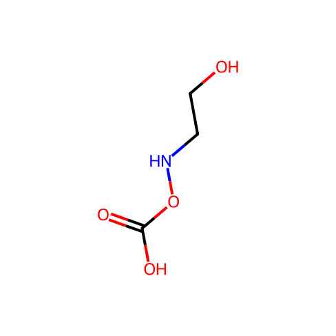 O=C(O)ONCCO